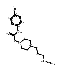 O=C(CN1CCN(CCCO[N+](=O)[O-])CC1)Oc1ccc(O)cc1